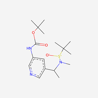 CC(c1cncc(NC(=O)OC(C)(C)C)c1)N(C)[S+]([O-])C(C)(C)C